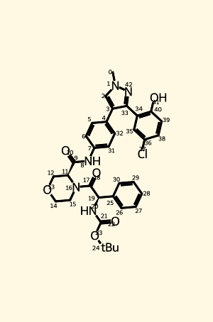 Cn1cc(-c2ccc(NC(=O)[C@@H]3COCCN3C(=O)[C@H](NC(=O)OC(C)(C)C)c3ccccc3)cc2)c(-c2cc(Cl)ccc2O)n1